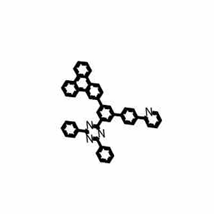 c1ccc(-c2nc(-c3ccccc3)nc(-c3cc(-c4ccc(-c5ccccn5)cc4)cc(-c4ccc5c6ccccc6c6ccccc6c5c4)c3)n2)cc1